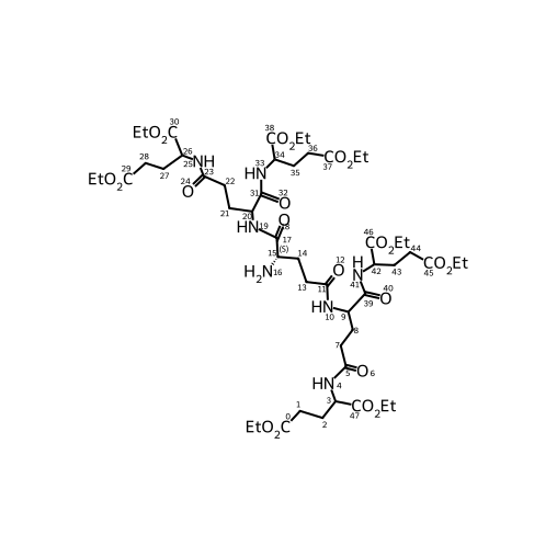 CCOC(=O)CCC(NC(=O)CCC(NC(=O)CC[C@H](N)C(=O)NC(CCC(=O)NC(CCC(=O)OCC)C(=O)OCC)C(=O)NC(CCC(=O)OCC)C(=O)OCC)C(=O)NC(CCC(=O)OCC)C(=O)OCC)C(=O)OCC